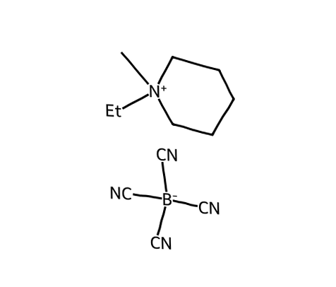 CC[N+]1(C)CCCCC1.N#C[B-](C#N)(C#N)C#N